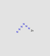 [N].[N].[N].[N].[N].[N].[Zn]